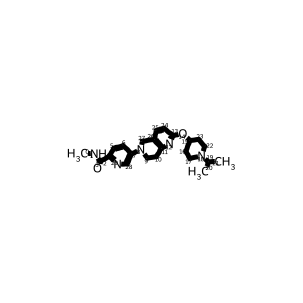 CNC(=O)c1ccc(N2CCc3nc(OC4CCN(C(C)C)CC4)ccc3C2)cn1